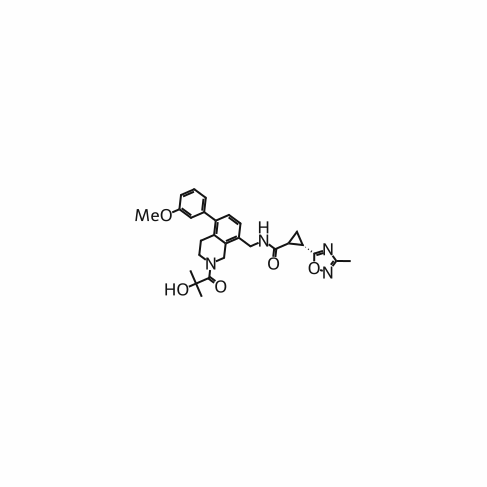 COc1cccc(-c2ccc(CNC(=O)C3C[C@@H]3c3nc(C)no3)c3c2CCN(C(=O)C(C)(C)O)C3)c1